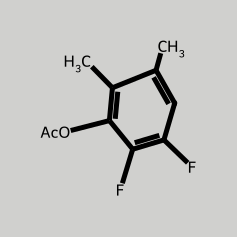 CC(=O)Oc1c(C)c(C)cc(F)c1F